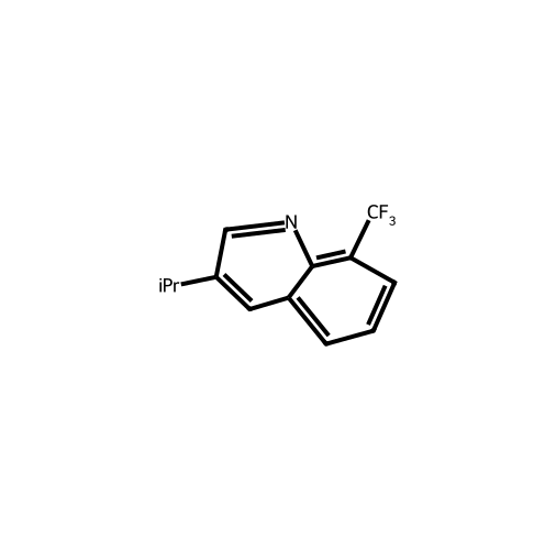 CC(C)c1cnc2c(C(F)(F)F)cccc2c1